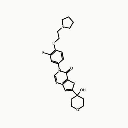 O=c1c2sc(C3(O)CCOCC3)cc2ncn1-c1ccc(OCCN2CCCC2)c(F)c1